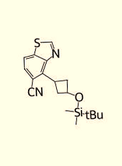 CC(C)(C)[Si](C)(C)OC1CC(c2c(C#N)ccc3scnc23)C1